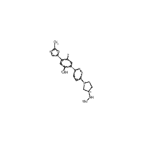 Cc1ncc(-c2cc(O)c(-c3ccc(N4CC[C@@H](NC(C)(C)C)C4)nn3)cc2F)s1